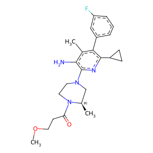 COCCC(=O)N1CCN(c2nc(C3CC3)c(-c3cccc(F)c3)c(C)c2N)C[C@H]1C